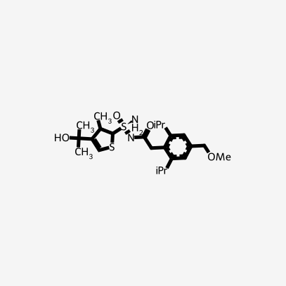 COCc1cc(C(C)C)c(CC(=O)N=[S@](N)(=O)C2SC=C(C(C)(C)O)C2C)c(C(C)C)c1